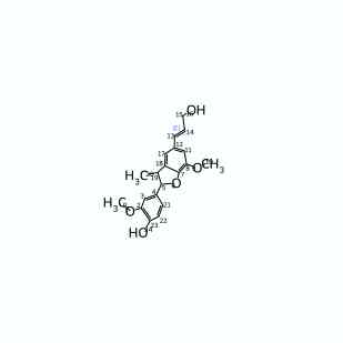 COc1cc(C2Oc3c(OC)cc(/C=C/CO)cc3C2C)ccc1O